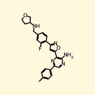 Cc1ccc(-c2cnc(N)c(-c3cc(-c4ccc(CNC5CCOC5)cc4F)no3)n2)cc1